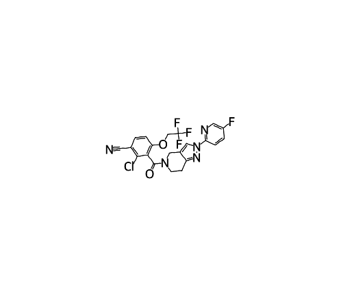 N#Cc1ccc(OCC(F)(F)F)c(C(=O)N2CCc3nn(-c4ccc(F)cn4)cc3C2)c1Cl